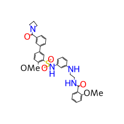 COc1ccccc1C(=O)NCCNc1cccc(NS(=O)(=O)c2cc(-c3cccc(C(=O)N4CCC4)c3)ccc2OC)c1